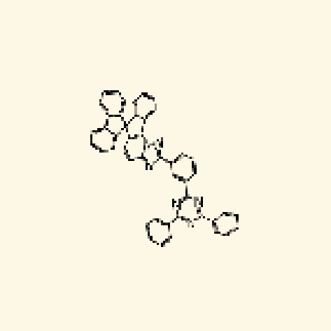 c1ccc(-c2nc(-c3ccccc3)nc(-c3cccc(-c4nc5ccc6c(n5n4)-c4ccccc4C64c5ccccc5-c5ccccc54)c3)n2)cc1